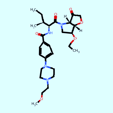 CCO[C@H]1CN(C(=O)[C@@H](NC(=O)c2ccc(N3CCN(CCOC)CC3)cc2)[C@@H](C)CC)[C@@H]2C(=O)CO[C@H]12